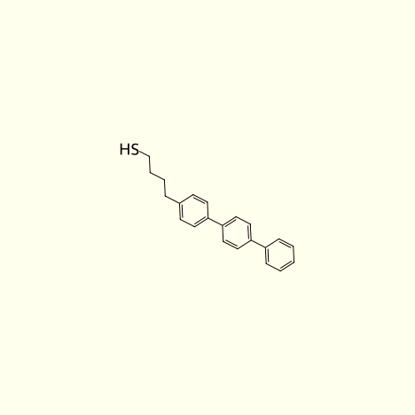 SCCCCc1ccc(-c2ccc(-c3ccccc3)cc2)cc1